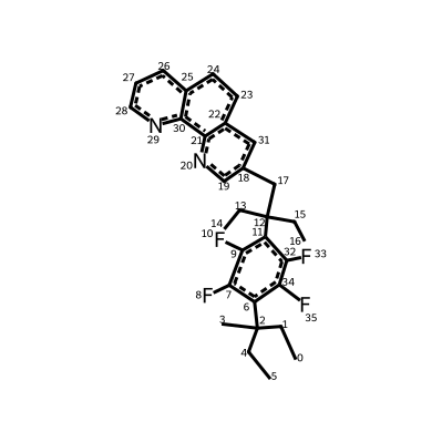 CCC(C)(CC)c1c(F)c(F)c(C(CC)(CC)Cc2cnc3c(ccc4cccnc43)c2)c(F)c1F